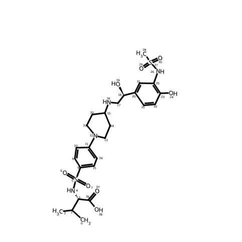 CC(C)[C@H](NS(=O)(=O)c1ccc(N2CCC(NC[C@@H](O)c3ccc(O)c(NS(C)(=O)=O)c3)CC2)cc1)C(=O)O